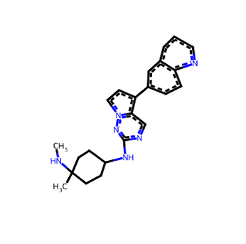 CNC1(C)CCC(Nc2ncc3c(-c4ccc5ncccc5c4)ccn3n2)CC1